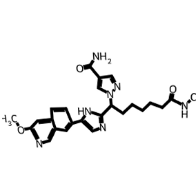 CNC(=O)CCCCCC(c1ncc(-c2ccc3cc(OC)ncc3c2)[nH]1)n1cc(C(N)=O)cn1